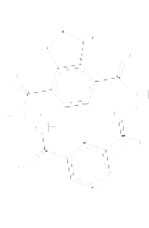 O=C(O)c1ccc(C(=O)O)c2c1CCC2.O=C(O)c1cccc(C(=O)O)c1